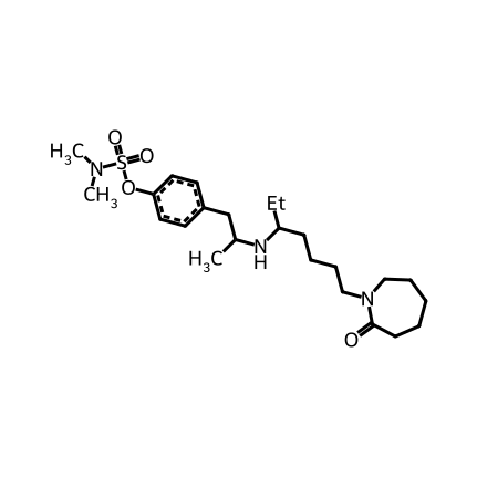 CCC(CCCCN1CCCCCC1=O)NC(C)Cc1ccc(OS(=O)(=O)N(C)C)cc1